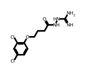 N=C(N)NNC(=O)CCCOc1ccc(Cl)cc1Cl